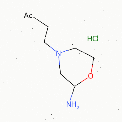 CC(=O)CCN1CCOC(N)C1.Cl